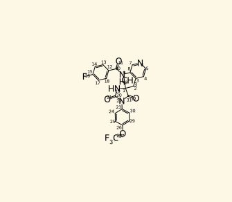 CC1(Cc2ccncc2NC(=O)c2ccc(F)cc2)NC(=O)N(c2ccc(OC(F)(F)F)cc2)C1=O